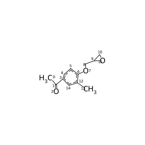 CC(=O)c1ccc(OCC2CO2)c(C)c1